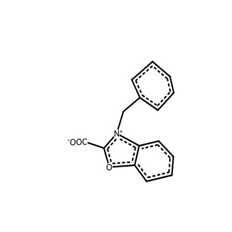 O=C([O-])c1oc2ccccc2[n+]1Cc1ccccc1